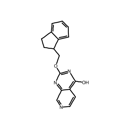 Oc1nc(OCC2CCc3ccccc32)nc2cnccc12